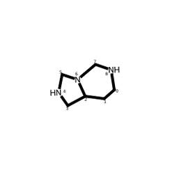 C1CC2CNCN2CN1